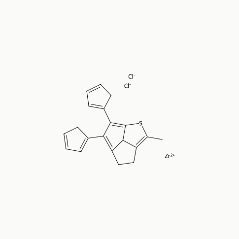 CC1=C2CCC3=C(C4=CC=CC4)C(C4=CC=CC4)=C(S1)C23.[Cl-].[Cl-].[Zr+2]